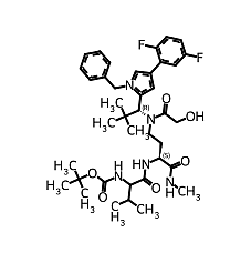 CNC(=O)[C@H](CCN(C(=O)CO)[C@@H](c1cc(-c2cc(F)ccc2F)cn1Cc1ccccc1)C(C)(C)C)NC(=O)C(NC(=O)OC(C)(C)C)C(C)C